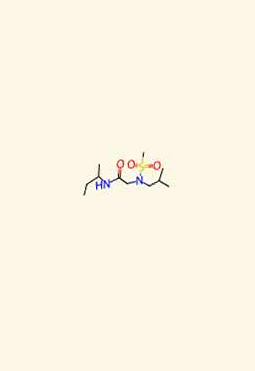 CCC(C)NC(=O)CN(CC(C)C)S(C)(=O)=O